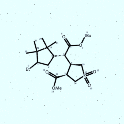 CCC1CC([C@H](C(=O)OC(C)(C)C)[C@H]2CS(=O)(=O)C[C@H]2C(=O)OC)C(C)(C)C1(C)C